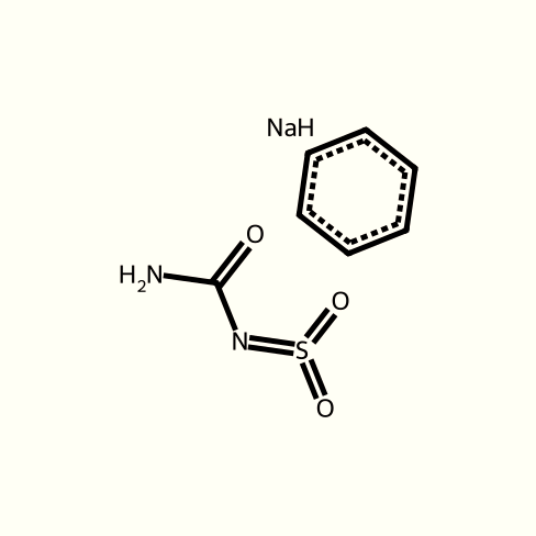 NC(=O)N=S(=O)=O.[NaH].c1ccccc1